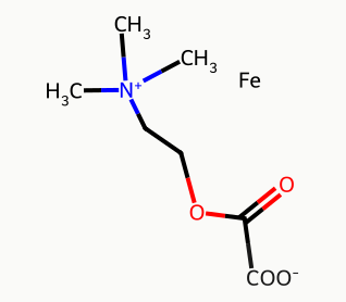 C[N+](C)(C)CCOC(=O)C(=O)[O-].[Fe]